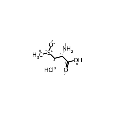 C[S+]([O-])C[C@H](N)C(=O)O.Cl